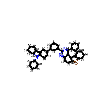 c1ccc(-c2nc(-c3cccc(-c4ccc5c(c4)c4ccccc4n5-c4ccccc4)c3)nc3ccc4sc5ccccc5c4c23)cc1